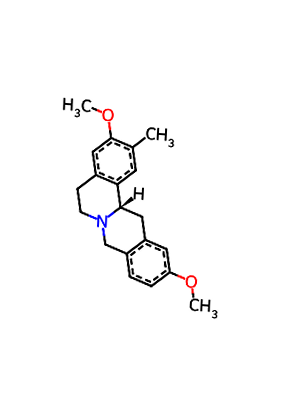 COc1ccc2c(c1)C[C@H]1c3cc(C)c(OC)cc3CCN1C2